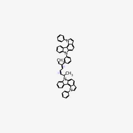 C=C/C(=C\C=C/C(C)n1c2ccccc2c2c3c(ccc21)ccn3-c1ccccc1)c1cccc(-n2c3ccccc3c3c4c(ccc32)ccn4-c2ccccc2)c1